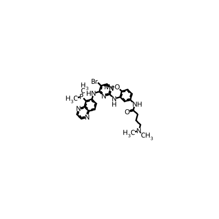 COc1ccc(NC(=O)CCCN(C)C)cc1Nc1ncc(Br)c(Nc2ccc3nccnc3c2P(C)C)n1